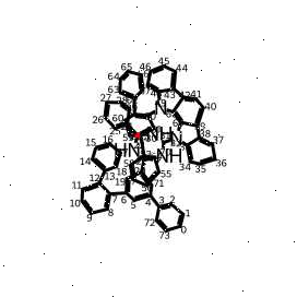 c1ccc(-c2cc(-c3ccccc3-c3ccccc3)cc(C3NC(c4ccccc4)NC(n4c5ccccc5c5ccc6c7ccccc7n(-c7cc(-c8ccccc8)ccc7-c7ccccc7)c6c54)N3)c2)cc1